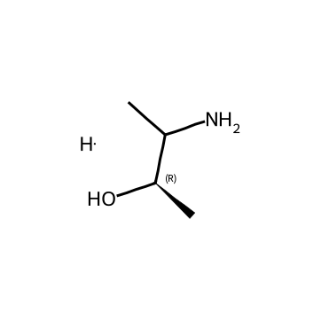 CC(N)[C@@H](C)O.[H]